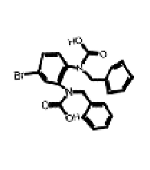 O=C(O)N(Cc1ccccc1)c1ccc(Br)cc1N(Cc1ccccc1)C(=O)O